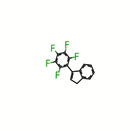 Fc1c(F)c(F)c(C2=CCc3ccccc32)c(F)c1F